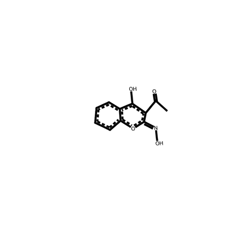 CC(=O)c1c(O)c2ccccc2oc1=NO